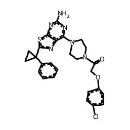 Nc1nc(N2CCN(C(=O)COc3ccc(Cl)cc3)CC2)c2nc(C3(c4ccccc4)CC3)sc2n1